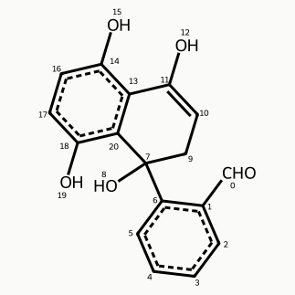 O=Cc1ccccc1C1(O)CC=C(O)c2c(O)ccc(O)c21